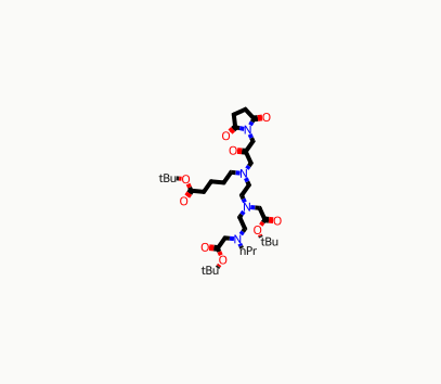 CCCN(CCN(CCN(CCCCC(=O)OC(C)(C)C)CC(=O)CN1C(=O)CCC1=O)CC(=O)OC(C)(C)C)CC(=O)OC(C)(C)C